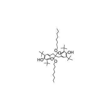 CCCCCCCCOC(=O)C(Cc1cc(C(C)(C)C)c(O)c(C(C)(C)C)c1)(Cc1cc(C(C)(C)C)c(O)c(C(C)(C)C)c1)C(=O)OCCCCCCCC